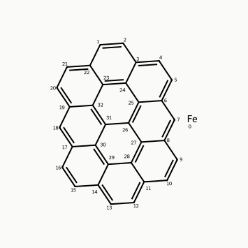 [Fe].c1cc2ccc3cc4ccc5ccc6ccc7cc8ccc1c1c2c3c2c4c5c6c7c2c81